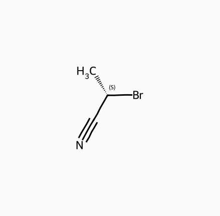 C[C@H](Br)C#N